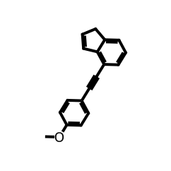 COc1ccc(C#Cc2cccc3c2C=CC3)cc1